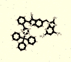 CCc1nc2c(C)cc(C)nc2n1Cc1ccc2oc(-c3ccccc3-c3nnn(C(c4ccccc4)(c4ccccc4)c4ccccc4)n3)c(Br)c2c1